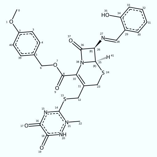 COc1ccc(COC(=O)C2=C(CSc3nc(=O)c(=O)[nH]n3C)CS[C@@H]3[C@H](N=Cc4ccccc4O)C(=O)N23)cc1